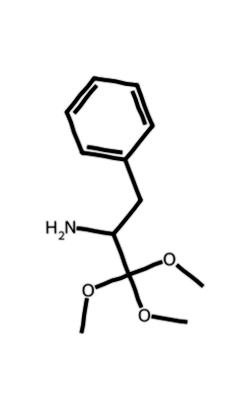 COC(OC)(OC)C(N)Cc1ccccc1